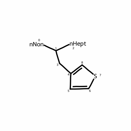 CCCCCCCCCC(CCCCCCC)Cc1ccsc1